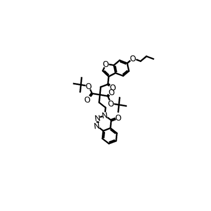 CCCOc1ccc2c(C(=O)CC(CCn3nnc4ccccc4c3=O)(C(=O)OC(C)(C)C)C(=O)OC(C)(C)C)coc2c1